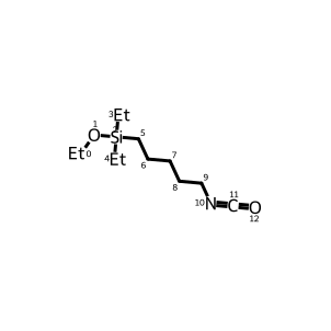 CCO[Si](CC)(CC)CCCCCN=C=O